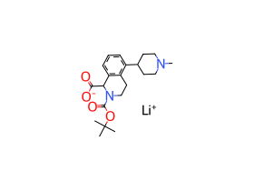 CN1CCC(c2cccc3c2CCN(C(=O)OC(C)(C)C)C3C(=O)[O-])CC1.[Li+]